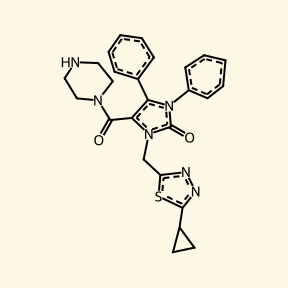 O=C(c1c(-c2ccccc2)n(-c2ccccc2)c(=O)n1Cc1nnc(C2CC2)s1)N1CCNCC1